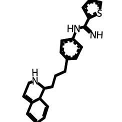 N=C(Nc1ccc(CCCC2NCC=C3C=CC=CC32)cc1)c1cccs1